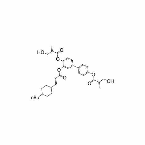 C=C(CO)C(=O)Oc1ccc(-c2ccc(OC(=O)C(=C)CO)c(OC(=O)/C=C/C3CCC(CCCC)CC3)c2)cc1